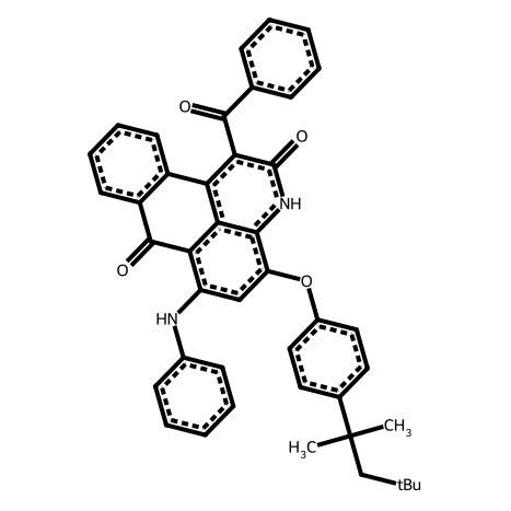 CC(C)(C)CC(C)(C)c1ccc(Oc2cc(Nc3ccccc3)c3c4c(c(C(=O)c5ccccc5)c(=O)[nH]c24)-c2ccccc2C3=O)cc1